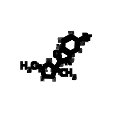 CN1CCC(C)(c2nc3cc(Br)ccc3o2)C1